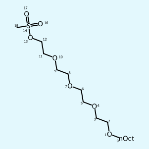 CCCCCCCCOCCOCCOCCOCCOS(C)(=O)=O